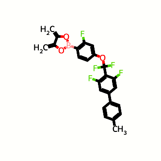 C=C1OB(c2ccc(OC(F)(F)c3c(F)cc(-c4ccc(C)cc4)cc3F)cc2F)OC1=C